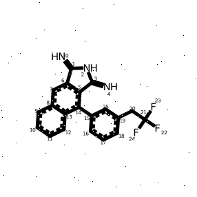 N=C1NC(=N)c2c1cc1ccccc1c2-c1cccc(CC(F)(F)F)c1